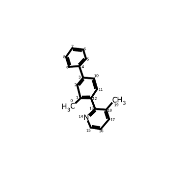 Cc1cc(-c2ccccc2)ccc1-c1ncccc1C